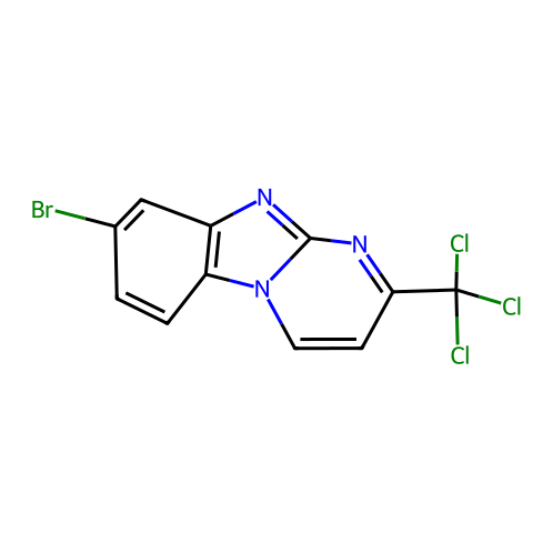 ClC(Cl)(Cl)c1ccn2c(n1)nc1cc(Br)ccc12